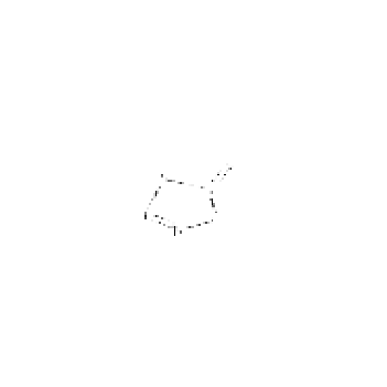 O=S1[N]C=NO1